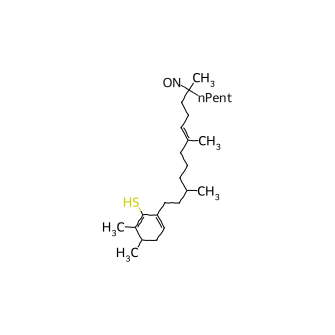 CCCCCC(C)(CC/C=C(\C)CCCC(C)CCC1=CCC(C)C(C)=C1S)N=O